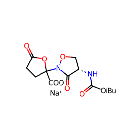 CC(C)COC(=O)N[C@H]1CON(C2(C(=O)[O-])CCC(=O)O2)C1=O.[Na+]